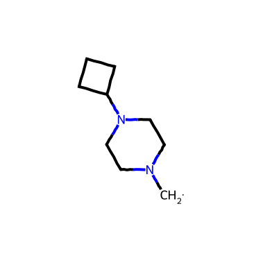 [CH2]N1CCN(C2CCC2)CC1